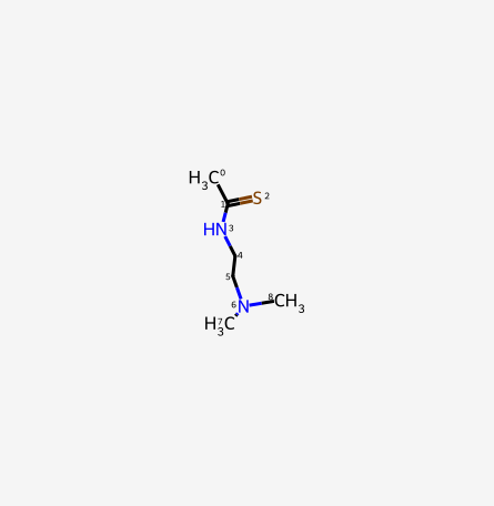 CC(=S)NCCN(C)C